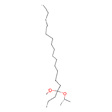 [CH2]CCCCCCCCCCCCCC(CCC)(OC)OC(C)C